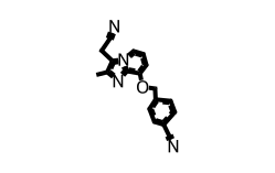 Cc1nc2c(OCc3ccc(C#N)cc3)cccn2c1CC#N